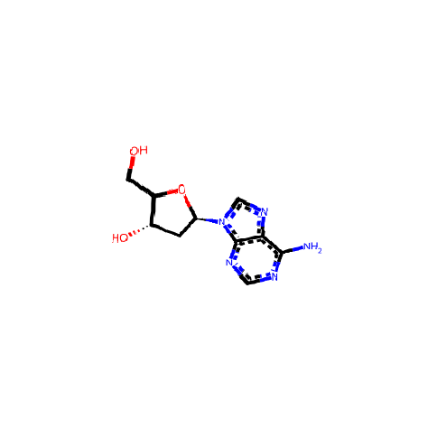 Nc1ncnc2c1ncn2[C@H]1C[C@H](O)C(CO)O1